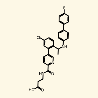 CC(Nc1ccc(-c2ccc(F)cc2)cc1)c1ccc(Cl)cc1-c1ccc(C(=O)NCCC(=O)O)nc1